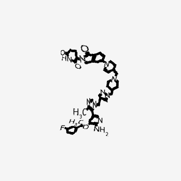 Cc1ncn(Cc2cnn(CC3CCN(CC4CCN(c5ccc6c(c5)CN(C5CCC(=O)NC5=O)C6=O)CC4)CC3)c2)c1-c1cnc(N)c(O[C@H](C)c2cccc(F)c2)c1